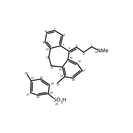 CNCCC=C1c2ccccc2CCc2c(C)cccc21.Cc1ccc(S(=O)(=O)O)cc1